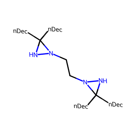 CCCCCCCCCCC1(CCCCCCCCCC)NN1CCN1NC1(CCCCCCCCCC)CCCCCCCCCC